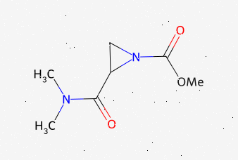 COC(=O)N1CC1C(=O)N(C)C